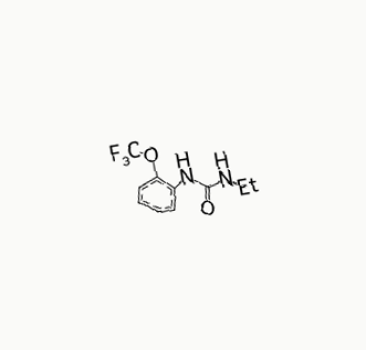 CCNC(=O)Nc1ccccc1OC(F)(F)F